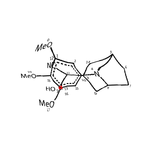 COc1cc(N2C3CCC2CC(C(C#N)C(=O)O)C3)cc(OC)c1OC